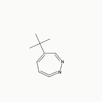 CC(C)(C)C1=CC=C=NN=C1